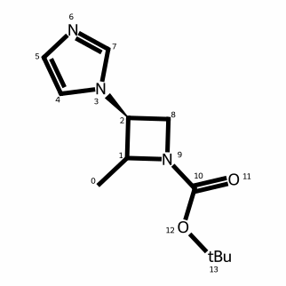 CC1[C@@H](n2ccnc2)CN1C(=O)OC(C)(C)C